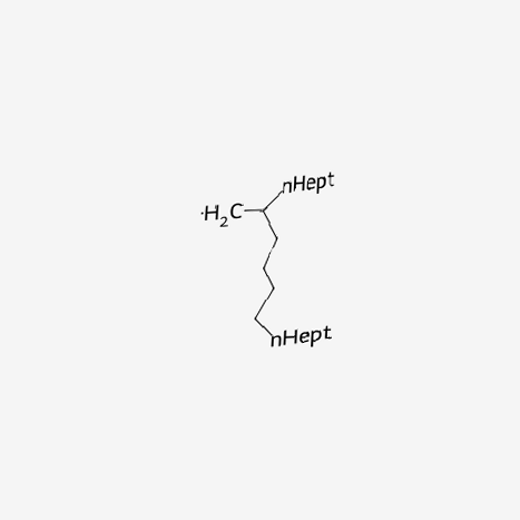 [CH2]C(CCCCCCC)CCCCCCCCCCC